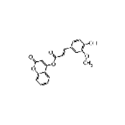 COc1cc(C=CC(=O)Oc2cc(=O)oc3ccccc23)ccc1O